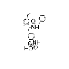 CCc1csc([C@H](Cc2ccc(NS(=O)(=O)O)cc2)NC(=O)Cc2ccccc2)c1